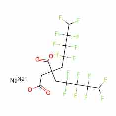 O=C([O-])CC(CC(F)(F)C(F)(F)C(F)(F)C(F)F)(CC(F)(F)C(F)(F)C(F)(F)C(F)F)C(=O)[O-].[Na+].[Na+]